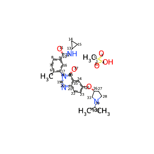 CS(=O)(=O)O.Cc1ccc(C(=O)NC2CC2)cc1-n1cnc2ccc(O[C@H]3CCN(C(C)C)C3)cc2c1=O